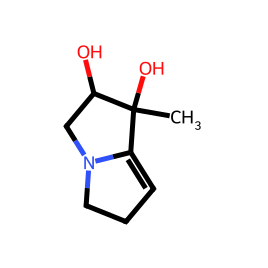 CC1(O)C2=CCCN2CC1O